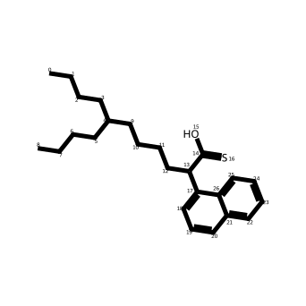 CCCCC(CCCC)CCCCC(C(O)=S)c1cccc2ccccc12